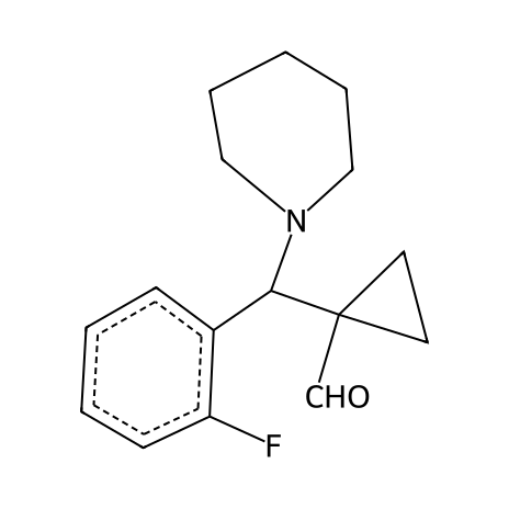 O=CC1(C(c2ccccc2F)N2CCCCC2)CC1